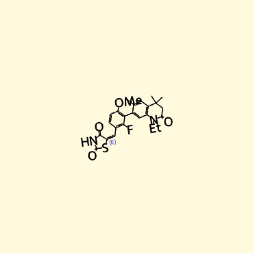 CCN1C(=O)CC(C)(C)c2cc(C)c(-c3c(OC)ccc(/C=C4/SC(=O)NC4=O)c3F)cc21